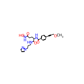 COCC#Cc1ccc(C(=O)NC(CCC(=O)NO)C(=O)NCCCn2cccn2)cc1